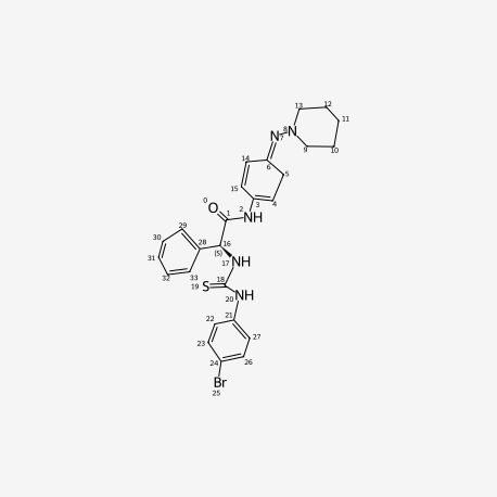 O=C(NC1=CCC(=NN2CCCCC2)C=C1)[C@@H](NC(=S)Nc1ccc(Br)cc1)c1ccccc1